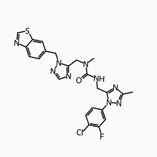 Cc1nc(CNC(=O)N(C)Cc2ncnn2Cc2ccc3ncsc3c2)n(-c2ccc(Cl)c(F)c2)n1